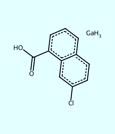 O=C(O)c1cccc2ccc(Cl)cc12.[GaH3]